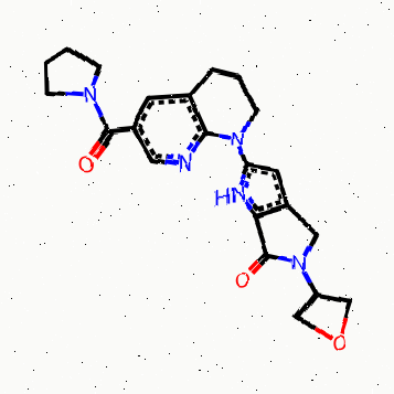 O=C(c1cnc2c(c1)CCCN2c1cc2c([nH]1)C(=O)N(C1COC1)C2)N1CCCC1